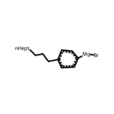 CCCCCCCCCCc1cc[c]([Mg][Br])cc1